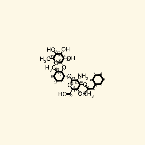 C[C@H](CC1CCCCC1)O[C@@H]1[C@@H](N)[C@H](O[C@@H]2CCC[C@H](C)[C@H]2O[C@@H]2O[C@@H](C)[C@@H](O)[C@@H](O)[C@@H]2O)O[C@H](CO)[C@@H]1O